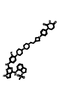 CS(=O)(=O)N1CCc2cccc(Nc3nc(Nc4ccc(N5CCC(N6CCN(CCC7CN(c8ccc(C9CCC(=O)NC9=O)cc8)C7)CC6)CC5)c(F)c4)nc4[nH]ccc34)c21